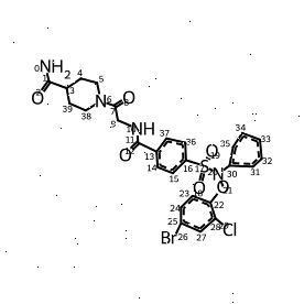 NC(=O)C1CCN(C(=O)CNC(=O)c2ccc(S(=O)(=O)N(Oc3ccc(Br)cc3Cl)c3ccccc3)cc2)CC1